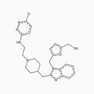 OCc1ccc(Cn2c(CC3CCN(CCNc4ccc(Cl)nn4)CC3)nc3ccccc32)o1